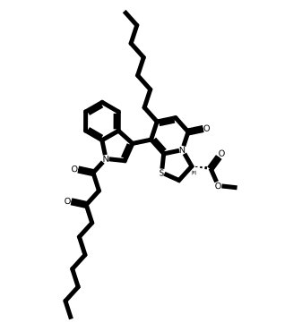 CCCCCCCC(=O)CC(=O)n1cc(-c2c(CCCCCCC)cc(=O)n3c2SC[C@H]3C(=O)OC)c2ccccc21